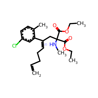 C=CCC/C=C(/CC(NC)(C(=O)OCC)C(=O)OCC)c1cc(Cl)ccc1C